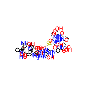 C#CC[C@H](NC(=O)CC[C@H](NC(=O)c1ccc(NCc2cnc3nc(N)nc(O)c3n2)cc1)C(=O)O)C(=O)N[C@@H](CC(=O)O)C(=O)N[C@@H](CC#C)C(=O)N[C@@H](CSSCCOC(=O)NNC(=O)[C@@]1(O)[C@H](O)[C@]2(CC)C=C(C)CN3[C@@H]2[C@@]24CC3(C)[C@@](O)(CC)C[C@@H]3C[C@@H]3[C@@](C(=O)OC)(c3[nH]c5ccccc5c3CCN)c3cc2c(cc3OC)N(C)[C@@H]14)C(=O)O